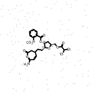 CCC(CC)C(=O)OC[C@@H]1C[C@@H](OC(=O)c2ccccc2C(=O)O)[C@H](CCC2C=CC(N)=NC(=O)C2)O1